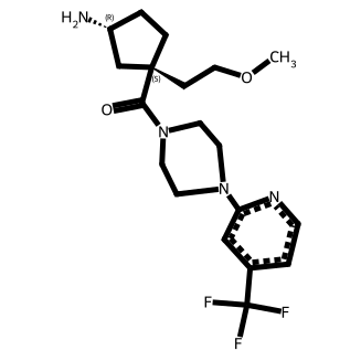 COCC[C@]1(C(=O)N2CCN(c3cc(C(F)(F)F)ccn3)CC2)CC[C@@H](N)C1